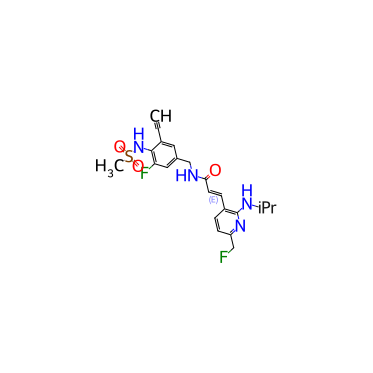 C#Cc1cc(CNC(=O)/C=C/c2ccc(CF)nc2NC(C)C)cc(F)c1NS(C)(=O)=O